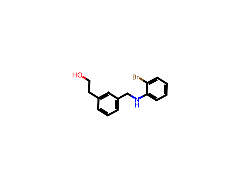 OCCc1[c]c(CNc2ccccc2Br)ccc1